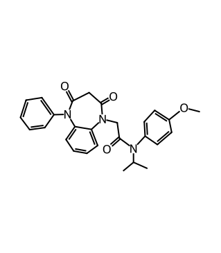 COc1ccc(N(C(=O)CN2C(=O)CC(=O)N(c3ccccc3)c3ccccc32)C(C)C)cc1